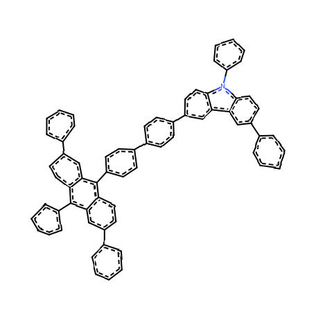 c1ccc(-c2ccc3c(-c4ccc(-c5ccc(-c6ccc7c(c6)c6cc(-c8ccccc8)ccc6n7-c6ccccc6)cc5)cc4)c4cc(-c5ccccc5)ccc4c(-c4ccccc4)c3c2)cc1